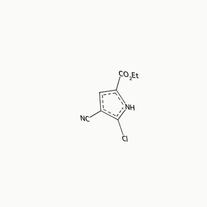 CCOC(=O)c1cc(C#N)c(Cl)[nH]1